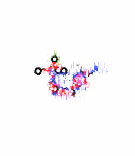 CC[C@H](C)[C@H](NC(=O)[C@@H](CCCNC(=N)N)NC(=O)[C@H](CC(C)C)NC(=O)[C@@H](N)[C@H](O)C(C)C)C(=O)NC(C(=O)NCC(=O)N[C@H](C(=O)N[C@@H](CO)C(=O)N[C@H](c1ccccc1)[C@H](NC(=O)OCc1ccccc1)C(=O)Oc1c(F)c(F)c(F)c(F)c1F)[C@H](O)C(N)=O)[C@H](C)O